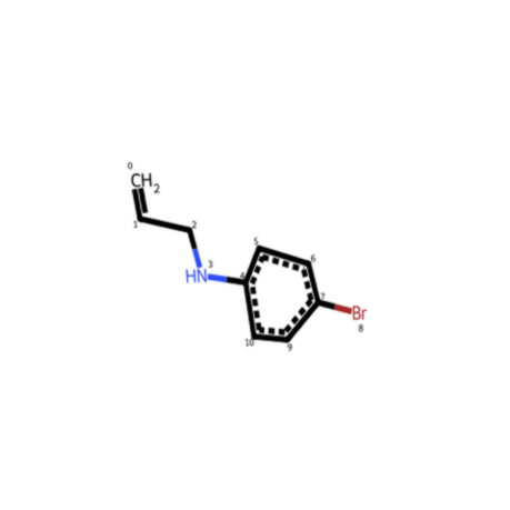 C=CCNc1ccc(Br)cc1